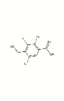 O=C(O)c1cc(Cl)c(CO)c(F)c1Cl